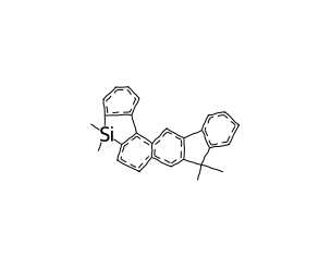 CC1(C)c2ccccc2-c2cc3c4c(ccc3cc21)[Si](C)(C)c1ccccc1-4